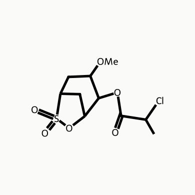 COC1CC2CC(OS2(=O)=O)C1OC(=O)C(C)Cl